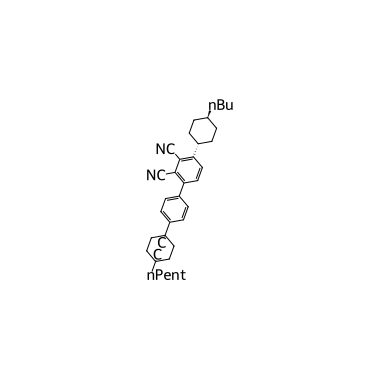 CCCCCC12CCC(c3ccc(-c4ccc([C@H]5CC[C@H](CCCC)CC5)c(C#N)c4C#N)cc3)(CC1)CC2